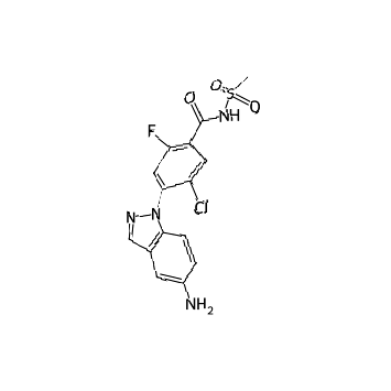 CS(=O)(=O)NC(=O)c1cc(Cl)c(-n2ncc3cc(N)ccc32)cc1F